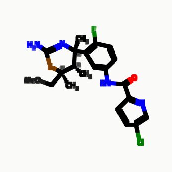 COC[C@@]1(C)SC(N)=N[C@](C)(c2cc(NC(=O)c3ccc(Cl)cn3)ccc2F)[C@@H]1C